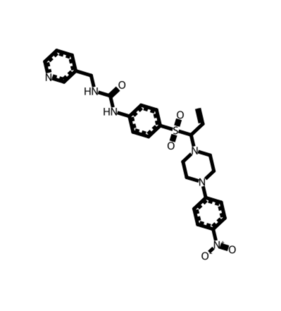 C=CC(N1CCN(c2ccc([N+](=O)[O-])cc2)CC1)S(=O)(=O)c1ccc(NC(=O)NCc2cccnc2)cc1